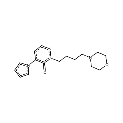 O=c1c(-n2cccc2)ccnn1CCCCN1CCOCC1